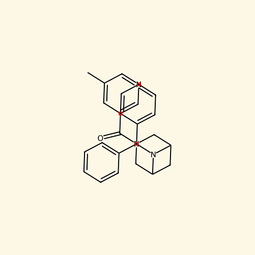 Cc1cncc(C(=O)N2CC3CC(C2)N3C(c2ccccc2)c2ccccc2)c1